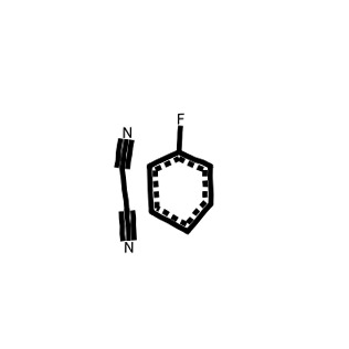 Fc1ccccc1.N#CC#N